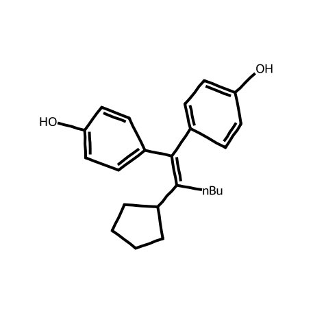 CCCCC(=C(c1ccc(O)cc1)c1ccc(O)cc1)C1CCCC1